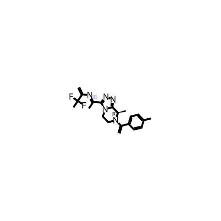 C=C(c1ccc(C)cc1)N1CCn2c(/C(C)=N/C(=C)C(C)(F)F)nnc2[C@H]1C